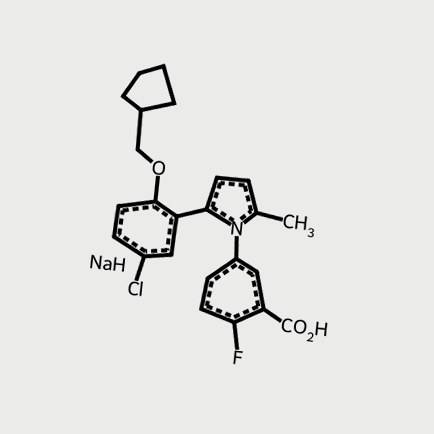 Cc1ccc(-c2cc(Cl)ccc2OCC2CCCC2)n1-c1ccc(F)c(C(=O)O)c1.[NaH]